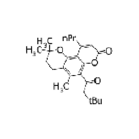 CCCc1cc(=O)oc2c(C(=O)CC(C)(C)C)c(C)c3c(c12)OC(C)(C)CC3